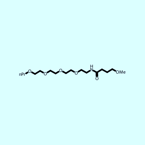 CCCOCCOCCOCCOCCNC(=O)CCCOC